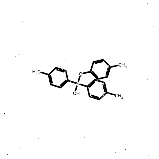 Cc1ccc(O[Si](O)(c2ccc(C)cc2)c2ccc(C)cc2)cc1